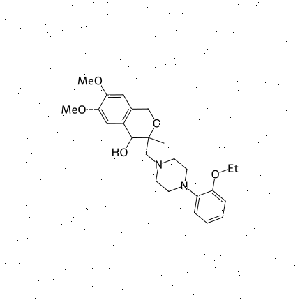 CCOc1ccccc1N1CCN(CC2(C)OCc3cc(OC)c(OC)cc3C2O)CC1